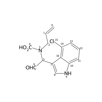 C=CCN(C(=O)O)C([C]=O)c1c[nH]c2cccc(Cl)c12